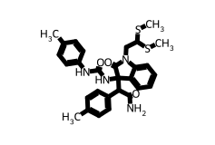 CSC(CN1C(=O)C(NC(=O)Nc2ccc(C)cc2)(C(C(N)=O)c2ccc(C)cc2)c2ccccc21)SC